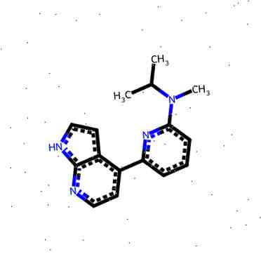 CC(C)N(C)c1cccc(-c2ccnc3[nH]ccc23)n1